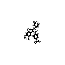 COc1ccc(-c2cc(-c3ccncc3)nn2-c2ccc([N+](=O)[O-])cc2)c(O)c1